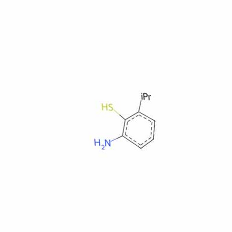 CC(C)c1cccc(N)c1S